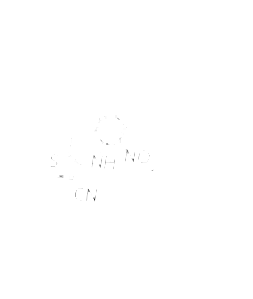 Cc1scc(C#N)c1Nc1ccccc1[N+](=O)[O-]